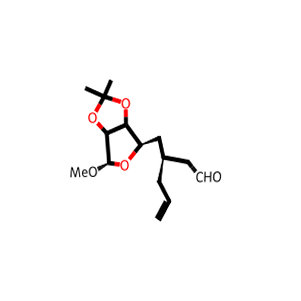 C=CC[C@H](CC=O)C[C@H]1O[C@@H](OC)C2OC(C)(C)OC21